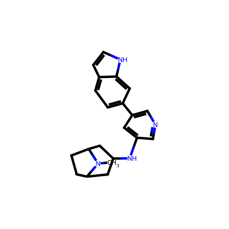 CN1C2CCC1CC(Nc1cncc(-c3ccc4cc[nH]c4c3)c1)C2